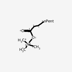 CCCCCCCC(=O)O[N+](C)(C)C